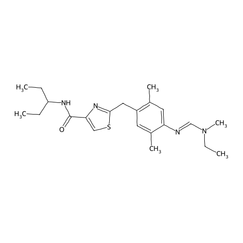 CCC(CC)NC(=O)c1csc(Cc2cc(C)c(N=CN(C)CC)cc2C)n1